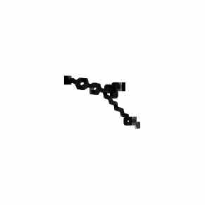 CCCCCCCCCC(OC(=O)O)c1ccc(-c2ccc(C#N)cc2)cc1